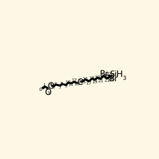 C=CC(=O)OCCCCCCCCCCCCCCCCCCCC([SiH3])(Br)Br